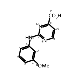 COc1cccc(Nc2nccc(C(=O)O)n2)c1